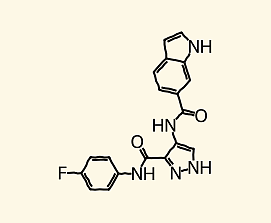 O=C(Nc1c[nH]nc1C(=O)Nc1ccc(F)cc1)c1ccc2cc[nH]c2c1